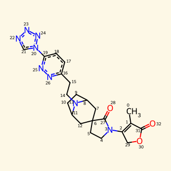 CC1=C(N2CCC3(CC4CCC(C3)N4CCc3ccc(-n4cnnn4)nn3)C2=O)COC1=O